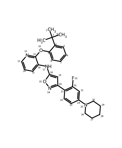 CC(C)(C)c1ccccc1Oc1ncccc1Nc1cc(-c2ccc(N3CCCCC3)cc2F)no1